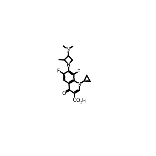 CC1C(N(C)C)CN1c1c(F)cc2c(=O)c(C(=O)O)cn(C3CC3)c2c1F